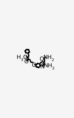 CN(Cc1ccccc1)C(=O)CCCOc1ccc2c(c1)CN(CC(N)=O)C(N)=N2